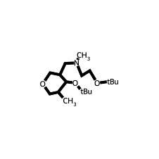 CC1COCC(CN(C)CCOC(C)(C)C)C1OC(C)(C)C